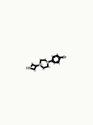 Brc1ccc(N2CCN(C3CNC3)CC2)cc1